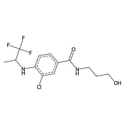 CC(Nc1ccc(C(=O)NCCCO)cc1Cl)C(F)(F)F